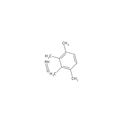 Cc1ccc(C)c(C)c1C.O=P